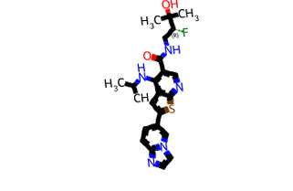 CC(C)Nc1c(C(=O)NC[C@@H](F)C(C)(C)O)cnc2sc(-c3ccc4nccn4c3)cc12